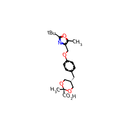 Cc1oc(C(C)(C)C)nc1COc1ccc(C[C@H]2CO[C@](C)(C(=O)O)OC2)cc1